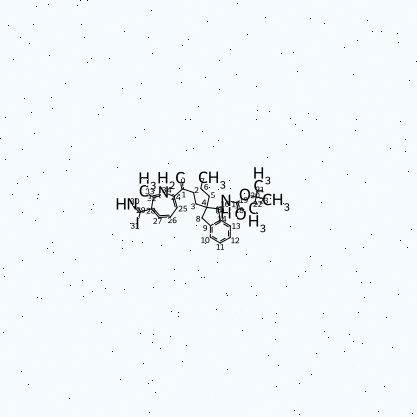 C=C(CCC1(CCC)Cc2ccccc2[C@H]1NC(=O)OC(C)(C)C)C1=CC=C=C(C(=N)I)C(C)=N1